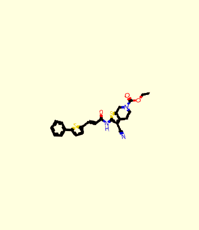 CCOC(=O)N1CCc2c(sc(NC(=O)/C=C/c3ccc(-c4ccccc4)s3)c2C#N)C1